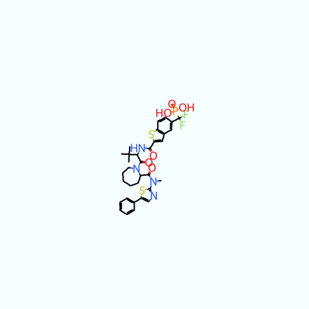 CN(C(=O)C1CCCCCN1C(=O)C(NC(=O)c1cc2cc(C(F)(F)P(=O)(O)O)ccc2s1)C(C)(C)C)c1ncc(-c2ccccc2)s1